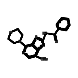 COc1cnc(N2CCOCC2)c2sc(NC(=O)c3ccccc3)nc12